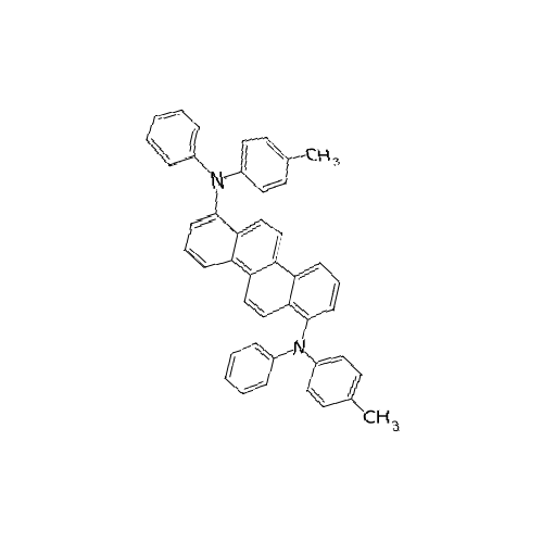 Cc1ccc(N(c2ccccc2)c2cccc3c2ccc2c4cccc(N(c5ccccc5)c5ccc(C)cc5)c4ccc32)cc1